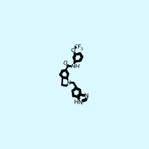 O=C(Nc1cccc(OC(F)(F)F)c1)c1ccc2c(c1)N(Cc1ccc3[nH]cnc3c1)CC2